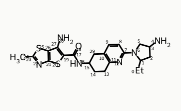 CCC1CC(N)CN1c1ccc2c(n1)CCC(NC(=O)c1sc3nc(C)sc3c1N)C2